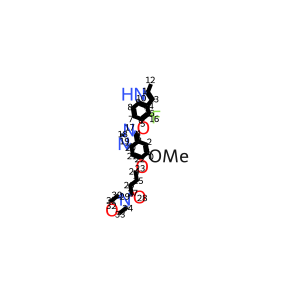 COc1cc2c(Oc3ccc4[nH]c(C)cc4c3F)ncnc2cc1OCCCC(=O)N1CCOCC1